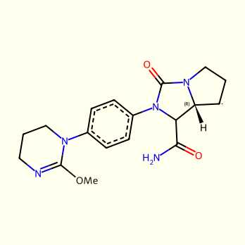 COC1=NCCCN1c1ccc(N2C(=O)N3CC[CH][C@@H]3C2C(N)=O)cc1